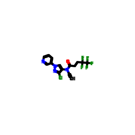 C#CN(C(=O)CCC(F)(F)C(F)(F)F)c1cn(-c2cccnc2)nc1Cl